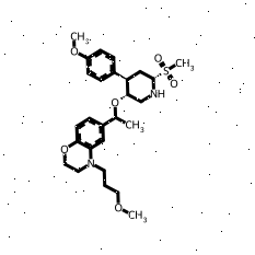 COCCCN1CCOc2ccc(C(C)O[C@H]3CN[C@@H](S(C)(=O)=O)C[C@@H]3c3ccc(OC)cc3)cc21